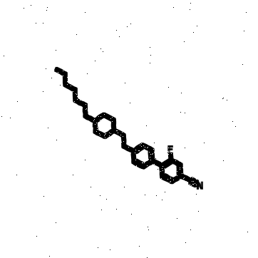 CCCCCCCC1CCC(CCc2ccc(-c3ccc(C#N)cc3F)cc2)CC1